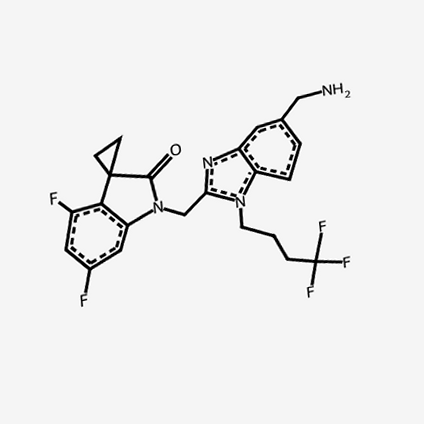 NCc1ccc2c(c1)nc(CN1C(=O)C3(CC3)c3c(F)cc(F)cc31)n2CCCC(F)(F)F